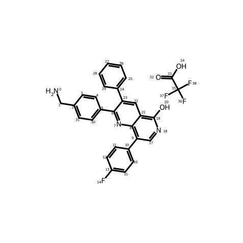 NCc1ccc(-c2nc3c(-c4ccc(F)cc4)cnc(O)c3cc2-c2ccccc2)cc1.O=C(O)C(F)(F)F